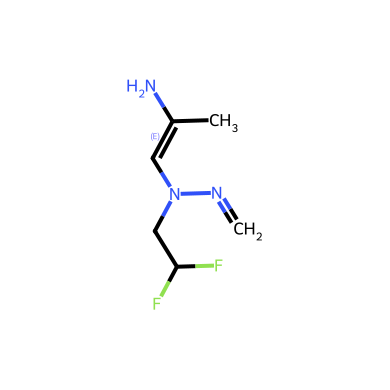 C=NN(/C=C(\C)N)CC(F)F